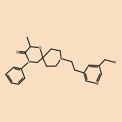 CC1OC2(CCN(CCc3cncc(CF)c3)CC2)CN(c2ccccc2)C1=O